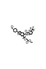 CCOC(=O)COC(C)(C)c1cc2nn([C@H]3CC[C@H](C=O)CC3)cc2cc1NC(=O)c1cccc(C(F)(F)F)n1